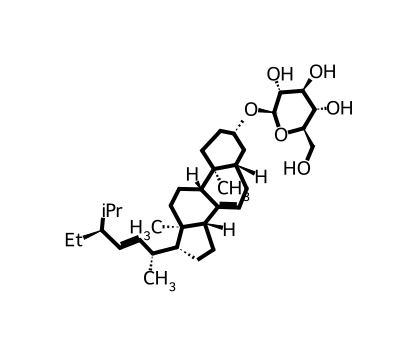 CC[C@H](/C=C/[C@@H](C)[C@H]1CC[C@H]2C3=CC[C@H]4C[C@@H](O[C@@H]5O[C@H](CO)[C@@H](O)[C@H](O)[C@H]5O)CC[C@]4(C)[C@H]3CC[C@]12C)C(C)C